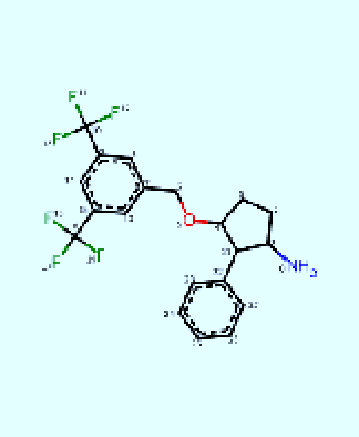 NC1CCC(OCc2cc(C(F)(F)F)cc(C(F)(F)F)c2)C1c1ccccc1